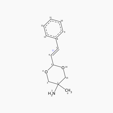 CC1(N)COC(/C=C/c2ccccc2)OC1